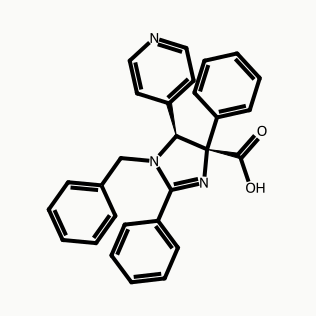 O=C(O)[C@@]1(c2ccccc2)N=C(c2ccccc2)N(Cc2ccccc2)[C@H]1c1ccncc1